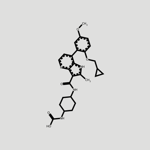 COc1ccc(OCC2CC2)c(-c2ccnc3c(C(=O)NC4CCC(NC(=O)O)CC4)c(C)[nH]c23)c1